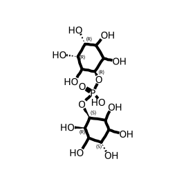 O=P(O)(O[C@@H]1C(O)C(O)[C@@H](O)[C@@H](O)C1O)O[C@H]1C(O)C(O)[C@H](O)C(O)[C@H]1O